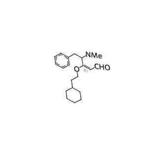 CNC(Cc1ccccc1)/C(=C\C=O)OCCC1CCCCC1